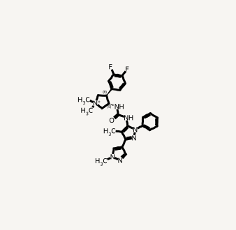 Cc1c(-c2cnn(C)c2)nn(-c2ccccc2)c1NC(=O)N[C@@H]1C[N+](C)(C)C[C@H]1c1ccc(F)c(F)c1